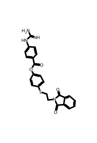 N=C(N)Nc1ccc(C(=O)Oc2ccc(SCCN3C(=O)c4ccccc4C3=O)cc2)cc1